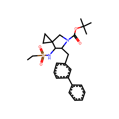 CCS(=O)(=O)NC1C(Cc2cccc(-c3ccccc3)c2)N(C(=O)OC(C)(C)C)CC12CC2